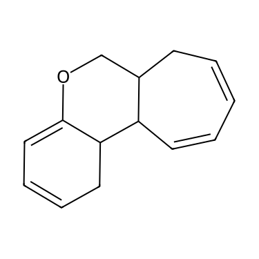 C1=CCC2COC3=CC=CCC3C2C=C1